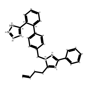 C=CCCc1nc(-c2ccccc2)nn1Cc1ccc(-c2ccccc2-c2nnn[nH]2)cc1